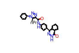 CCCc1c(C(=O)Nc2ccc(-c3n[nH]c(=O)c4ccccc34)cc2)nnn1-c1ccccc1